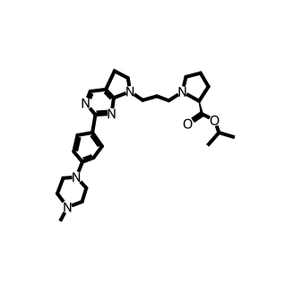 CC(C)OC(=O)[C@@H]1CCCN1CCCN1CCc2cnc(-c3ccc(N4CCN(C)CC4)cc3)nc21